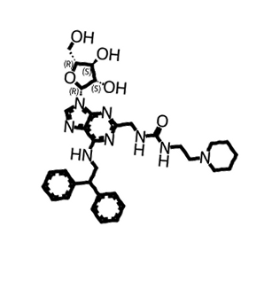 O=C(NCCN1CCCCC1)NCc1nc(NCC(c2ccccc2)c2ccccc2)c2ncn([C@@H]3O[C@H](CO)[C@@H](O)[C@@H]3O)c2n1